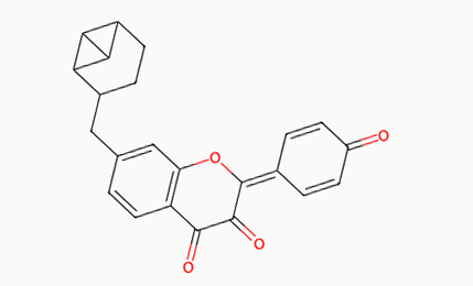 O=C1C=CC(=C2Oc3cc(CC4CCC5C6C4C56)ccc3C(=O)C2=O)C=C1